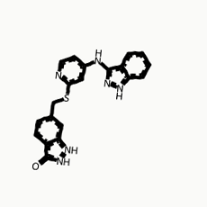 O=c1[nH][nH]c2cc(CSc3cc(Nc4n[nH]c5ccccc45)ccn3)ccc12